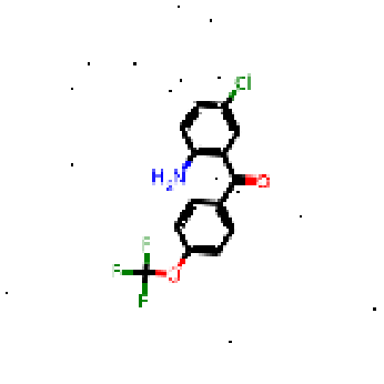 Nc1ccc(Cl)cc1C(=O)c1ccc(OC(F)(F)F)cc1